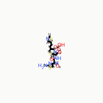 CON=C(C(=O)NC1C(=O)N2C(OC(=O)O)=C(C=Cc3cnc(C)s3)CS[C@@H]12)c1csc(N)n1